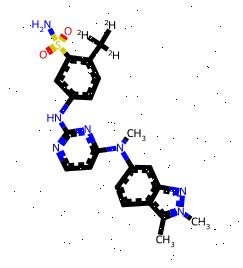 [2H]C([2H])([2H])c1ccc(Nc2nccc(N(C)c3ccc4c(C)n(C)nc4c3)n2)cc1S(N)(=O)=O